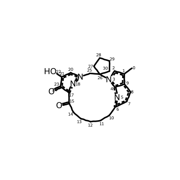 Cc1cn2c3nc(ccc13)CCCCCC(=O)c1nn(cc(O)c1=O)CC21CCCC1